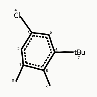 Cc1cc(Cl)cc(C(C)(C)C)c1C